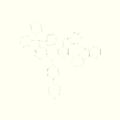 c1ccc(-c2ccc(N(c3ccc4c(c3)C3(c5ccccc5-c5ccccc53)c3ccccc3-4)c3ccc4c(c3)sc3cccc(-n5c6ccccc6c6ccccc65)c34)cc2)cc1